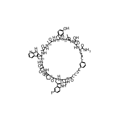 CC(C)[C@]1(C)NC(=O)[C@H](Cc2ccc(O)cc2)NC(=O)[C@H](C)NC(=O)C(C)(C)NC(=O)[C@H](Cc2c[nH]c3ncccc23)NC(=O)[C@H]([C@@H](C)O)NC(=O)[C@@H]2CCCN2C(=O)[C@H](Cc2c[nH]c3ccc(F)cc23)NC(=O)C(C(C)(C)C)NC(=O)CCSCc2cccc(c2)CSC[C@H](C(N)=O)NC(=O)C([C@H](C)O)NC1=O